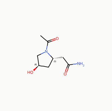 CC(=O)N1C[C@H](O)C[C@H]1CC(N)=O